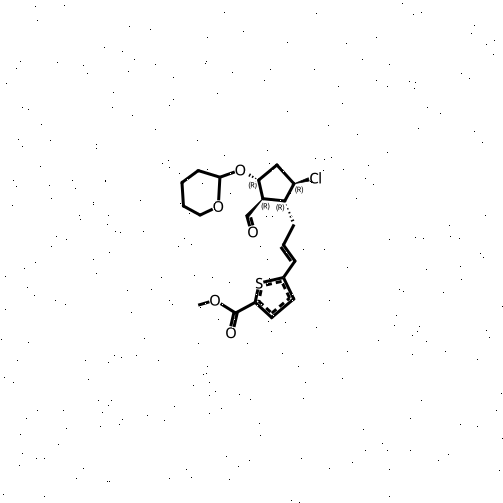 COC(=O)c1ccc(C=CC[C@@H]2[C@@H](C=O)[C@H](OC3CCCCO3)C[C@H]2Cl)s1